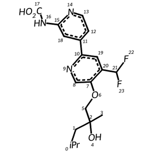 CC(C)CC(C)(O)COc1cnc(-c2ccnc(NC(=O)O)c2)cc1C(F)F